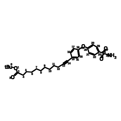 CC(C)(C)OC(=O)CCCCCCCCCC#Cc1ccc(Oc2ccc(S(N)(=O)=O)cc2)cc1